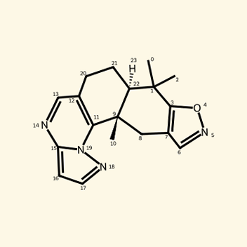 CC1(C)c2oncc2C[C@]2(C)c3c(cnc4ccnn34)CC[C@@H]12